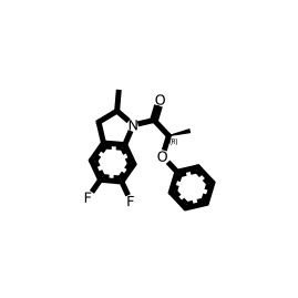 CC1Cc2cc(F)c(F)cc2N1C(=O)[C@@H](C)Oc1ccccc1